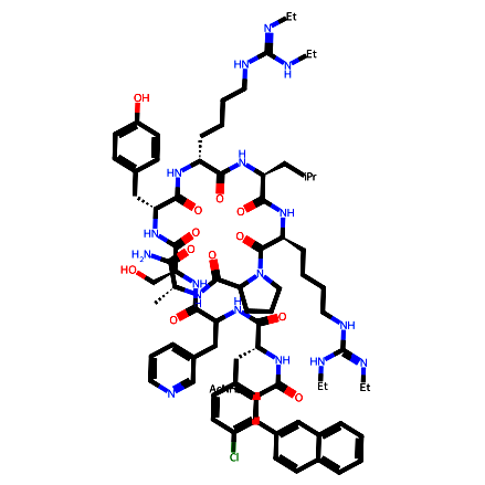 CC/N=C(\NCC)NCCCC[C@H](NC(=O)[C@H](CC(C)C)NC(=O)[C@@H](CCCCN/C(=N/CC)NCC)NC(=O)[C@@H](Cc1ccc(O)cc1)NC(=O)[C@H](CO)NC(=O)C(Cc1cccnc1)NC(=O)[C@@H](Cc1ccc(Cl)cc1)NC(=O)[C@@H](Cc1ccc2ccccc2c1)NC(C)=O)C(=O)N1CCCC1C(=O)N[C@H](C)C(N)=O